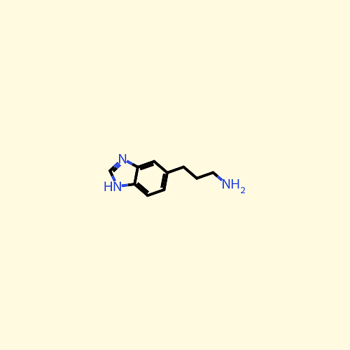 NCCCc1ccc2[nH]cnc2c1